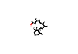 CC(C=CC(C)=C(C)/C=C/C1=C(C)CCCC1(C)C)=CC=O